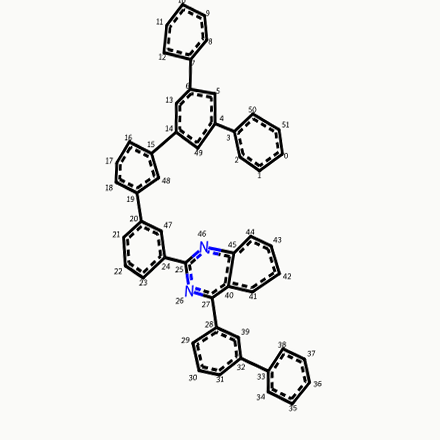 c1ccc(-c2cc(-c3ccccc3)cc(-c3cccc(-c4cccc(-c5nc(-c6cccc(-c7ccccc7)c6)c6ccccc6n5)c4)c3)c2)cc1